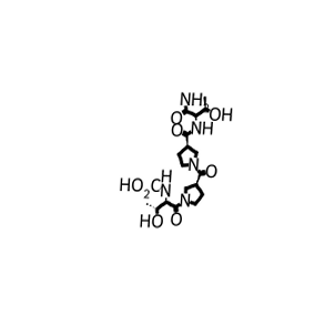 C[C@@H](O)[C@H](NC(=O)[C@@H]1CCN(C(=O)[C@H]2CCN(C(=O)[C@@H](NC(=O)O)[C@@H](C)O)C2)C1)C(N)=O